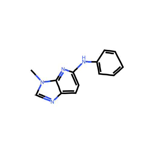 Cn1[c]nc2ccc(Nc3ccccc3)nc21